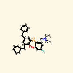 CN(C)Cc1cc(F)ccc1Pc1cc(CC2C=CC=CC2)cc(CC2C=CC=CC2)c1O